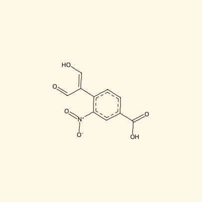 O=CC(=CO)c1ccc(C(=O)O)cc1[N+](=O)[O-]